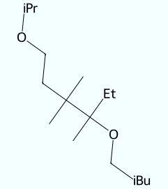 CCC(C)COC(C)(CC)C(C)(C)CCOC(C)C